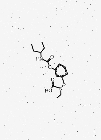 CCC(CC)NC(=O)Oc1cccc(SN(CC)C(=O)O)c1